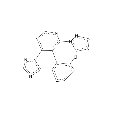 Clc1ccccc1-c1c(-n2cncn2)ncnc1-n1cncn1